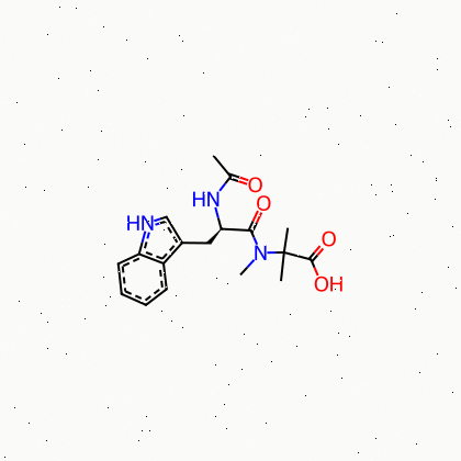 CC(=O)N[C@H](Cc1c[nH]c2ccccc12)C(=O)N(C)C(C)(C)C(=O)O